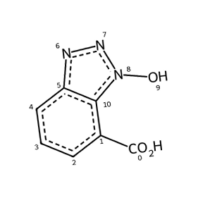 O=C(O)c1cccc2nnn(O)c12